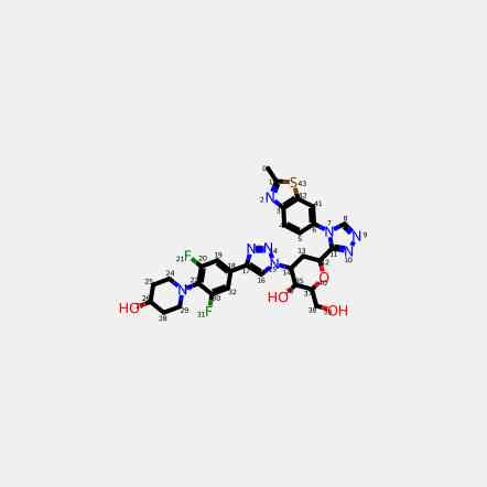 Cc1nc2ccc(-n3cnnc3C3CC(n4cc(-c5cc(F)c(N6CCC(O)CC6)c(F)c5)nn4)C(O)C(CO)O3)cc2s1